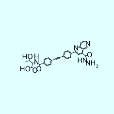 CC(O)C(NC(=O)c1ccc(C#Cc2ccc(-c3cc(C(=O)NN)c4cnccc4n3)cc2)cc1)C(=O)O